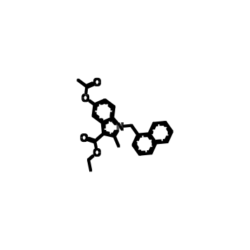 CCOC(=O)c1c(C)n(Cc2cccc3ccccc23)c2ccc(OC(C)=O)cc12